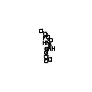 CC1(NC(=O)COc2ccc(Cl)cc2F)C=C(NC(=O)COc2ccc(Cl)c(Cl)c2)C1